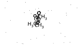 C[C@](C(=O)O[C@H]1CC[N+](C)(C)C1)(c1ccccc1)C1CCCC1